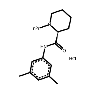 CCCN1CCCC[C@H]1C(=O)Nc1cc(C)cc(C)c1.Cl